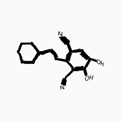 N#Cc1cc(O)c(O)c(C#N)c1C=CC1CCCCC1